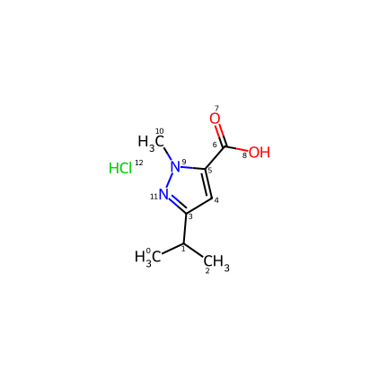 CC(C)c1cc(C(=O)O)n(C)n1.Cl